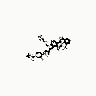 Cn1c(=O)n(-c2c(Cl)cccc2Cl)c(=O)c2cnc3c(cc(-c4cnn([C@H]5CCN(C(=O)OC(C)(C)C)C[C@@H]5F)c4)n3COCC[Si](C)(C)C)c21